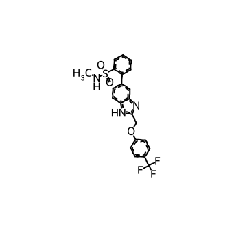 CNS(=O)(=O)c1ccccc1-c1ccc2[nH]c(COc3ccc(C(F)(F)F)cc3)nc2c1